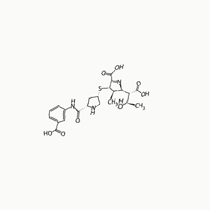 C[C@@H](O)[C@@H](C(=O)O)[C@@H]1N=C(C(=O)O)C(S[C@@H]2CN[C@H](C(=O)Nc3cccc(C(=O)O)c3)C2)[C@@H]1C